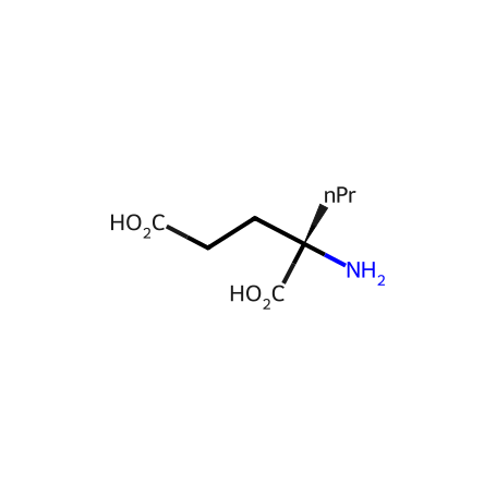 CCC[C@](N)(CCC(=O)O)C(=O)O